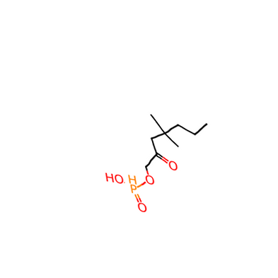 CCCC(C)(C)CC(=O)CO[PH](=O)O